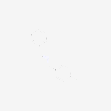 Clc1ccc(CN=Cc2ccccc2)cc1